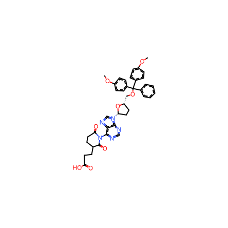 COc1ccc(C(OC[C@@H]2CC[C@H](n3cnc4c(N5C(=O)CCC(CCC(=O)O)C5=O)ncnc43)O2)(c2ccccc2)c2ccc(OC)cc2)cc1